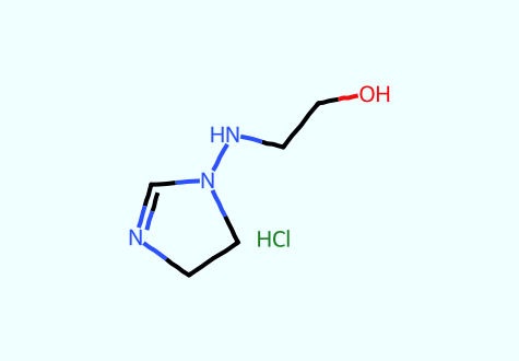 Cl.OCCNN1C=NCC1